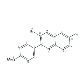 COc1ccc(-c2nc3ccc(C)cc3cc2Br)cc1